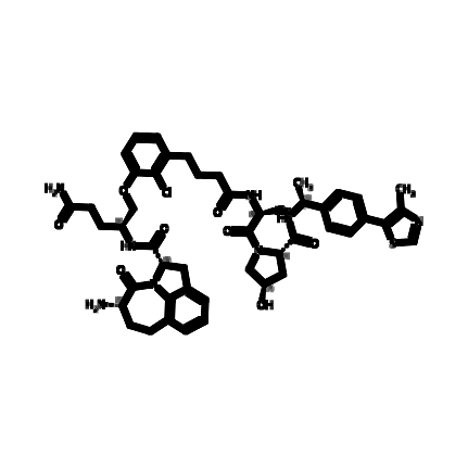 Cc1ncsc1-c1ccc([C@H](C)NC(=O)[C@@H]2C[C@@H](O)CN2C(=O)[C@@H](NC(=O)CCCc2cccc(OC[C@H](CCC(N)=O)NC(=O)[C@@H]3Cc4cccc5c4N3C(=O)[C@@H](N)CC5)c2Cl)C(C)(C)C)cc1